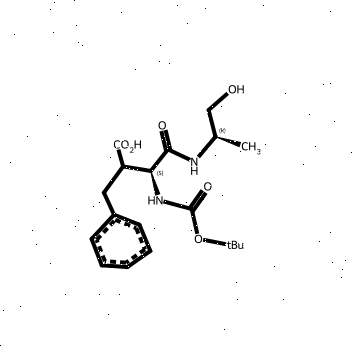 C[C@H](CO)NC(=O)[C@@H](NC(=O)OC(C)(C)C)C(Cc1ccccc1)C(=O)O